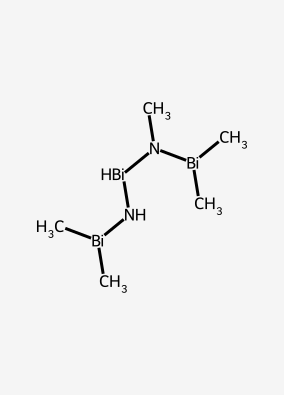 C[N]([BiH][NH][Bi]([CH3])[CH3])[Bi]([CH3])[CH3]